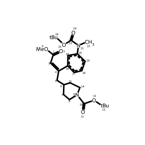 COC(=O)C=C(CC1CCN(C(=O)OC(C)(C)C)CC1)c1cccc(N(C)C(=O)OC(C)(C)C)c1